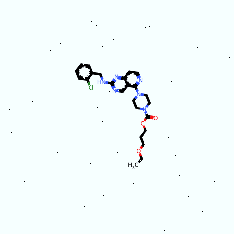 CCOCCCOC(=O)N1CCN(c2nccc3nc(NCc4ccccc4Cl)ncc23)CC1